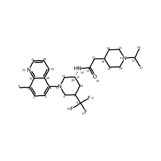 Cc1ccc(N2CC(C(F)(F)F)C[C@@H](NC(=O)CC3CCN(C(C)C)CC3)C2)c2cccnc12